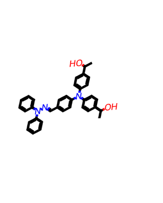 CC(O)c1ccc(N(c2ccc(C=NN(c3ccccc3)c3ccccc3)cc2)c2ccc(C(C)O)cc2)cc1